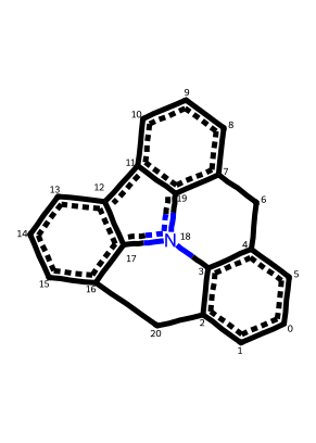 c1cc2c3c(c1)Cc1cccc4c5cccc(c5n-3c14)C2